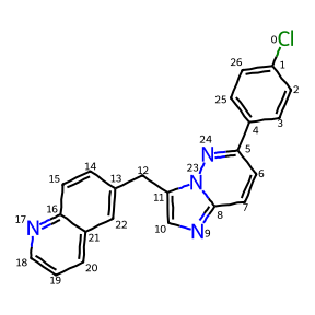 Clc1ccc(-c2ccc3ncc(Cc4ccc5ncccc5c4)n3n2)cc1